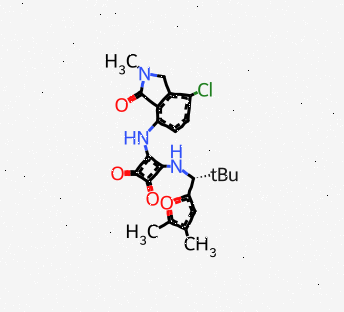 Cc1cc([C@H](Nc2c(Nc3ccc(Cl)c4c3C(=O)N(C)C4)c(=O)c2=O)C(C)(C)C)oc1C